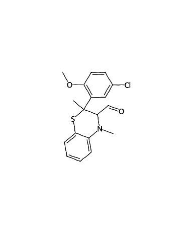 COc1ccc(Cl)cc1C1(C)Sc2ccccc2N(C)C1C=O